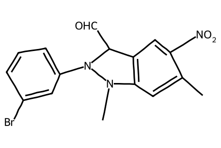 Cc1cc2c(cc1[N+](=O)[O-])C(C=O)N(c1cccc(Br)c1)N2C